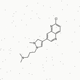 CN(C)CCCN1C=C(c2cnc3ccc(Cl)nc3c2)CN1C